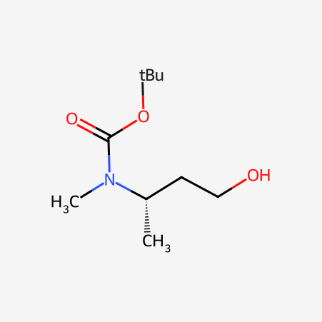 C[C@@H](CCO)N(C)C(=O)OC(C)(C)C